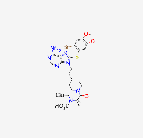 C[C@H](C(=O)N1CCC(CCn2c(Sc3cc4c(cc3Br)OCO4)nc3c(N)ncnc32)CC1)N(CC(C)(C)C)C(=O)O